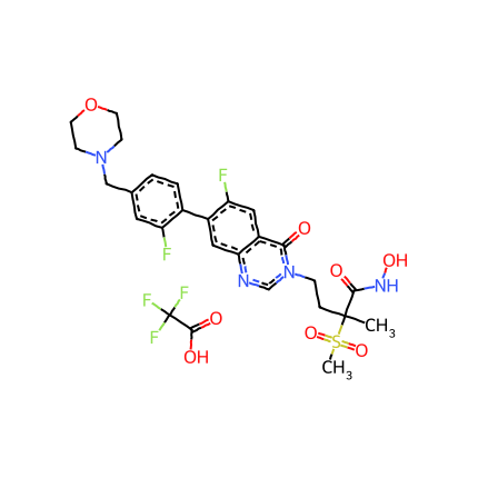 CC(CCn1cnc2cc(-c3ccc(CN4CCOCC4)cc3F)c(F)cc2c1=O)(C(=O)NO)S(C)(=O)=O.O=C(O)C(F)(F)F